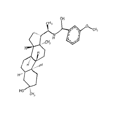 COc1cccc(C(O)N[C@H](C)[C@H]2CC[C@H]3[C@@H]4CC[C@@H]5C[C@](C)(O)CC[C@@H]5[C@H]4CC[C@]23C)c1